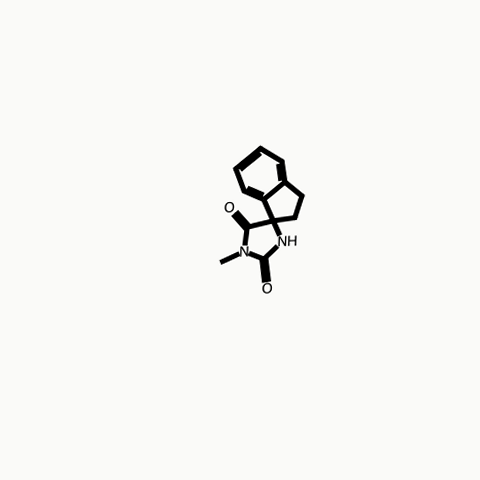 CN1C(=O)NC2(CCc3ccccc32)C1=O